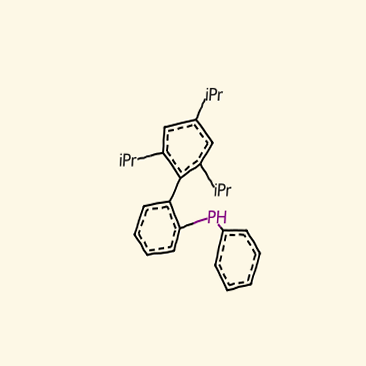 CC(C)c1cc(C(C)C)c(-c2ccccc2Pc2ccccc2)c(C(C)C)c1